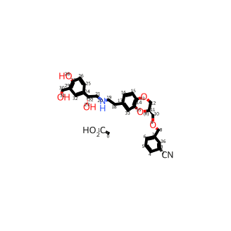 CC(=O)O.N#Cc1cccc(COC[C@@H]2COc3ccc(CCNC[C@H](O)c4ccc(O)c(CO)c4)cc3O2)c1